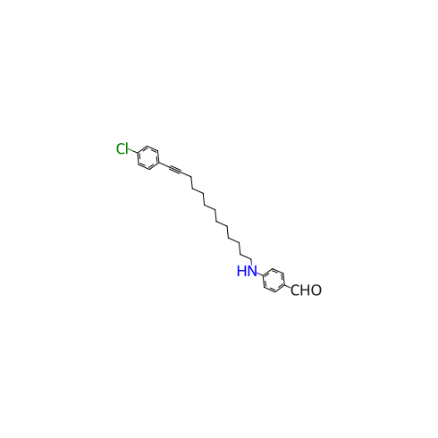 O=Cc1ccc(NCCCCCCCCCCCC#Cc2ccc(Cl)cc2)cc1